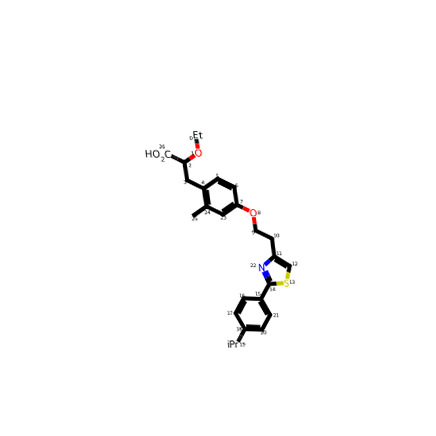 CCOC(Cc1ccc(OCCc2csc(-c3ccc(C(C)C)cc3)n2)cc1C)C(=O)O